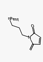 C=C1C=CC(=O)N1CCCCCCCC